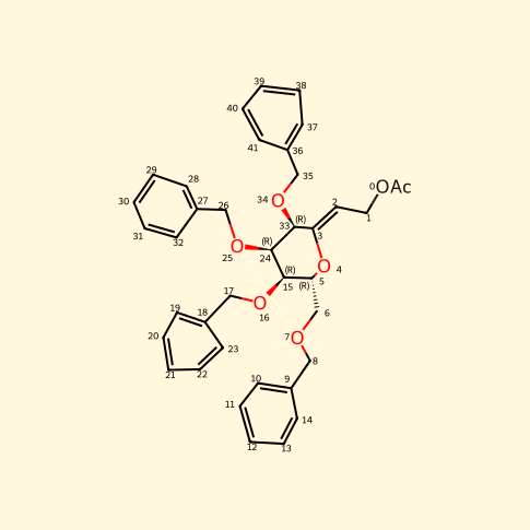 CC(=O)OCC=C1O[C@H](COCc2ccccc2)[C@@H](OCc2ccccc2)[C@@H](OCc2ccccc2)[C@H]1OCc1ccccc1